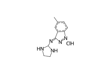 Cc1ccc2c(c1)C(=NC1NCCN1)N=N2.Cl